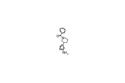 Nc1cn(C2CCCN(C(=O)c3ccccc3)C2)cn1